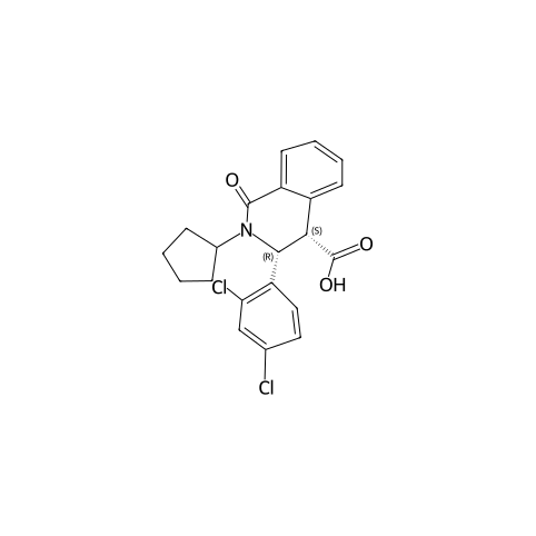 O=C(O)[C@H]1c2ccccc2C(=O)N(C2CCCC2)[C@H]1c1ccc(Cl)cc1Cl